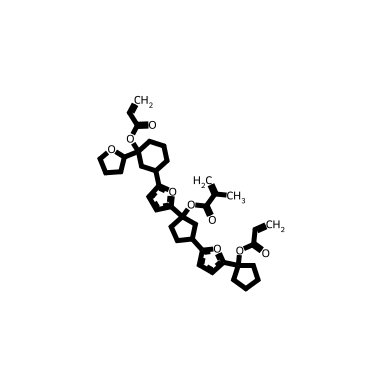 C=CC(=O)OC1(c2ccc(C3CCC(OC(=O)C(=C)C)(c4ccc(C5CCCC(OC(=O)C=C)(C6CCCO6)C5)o4)C3)o2)CCCC1